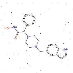 O=C(NO)C(c1ccccc1)N1CCN(Cc2ccc3[nH]ccc3c2)CC1